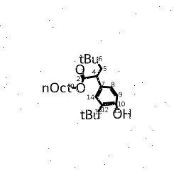 CCCCCCCCOC(=O)C(CC(C)(C)C)c1ccc(O)c(C(C)(C)C)c1